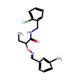 CCC(ON=Cc1cccc(C)c1)C(=O)NCc1ccccc1Cl